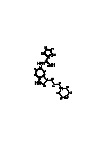 N=C(Nc1ccc2c(c1)C(CCCN1CCOCC1)CN2)c1cccs1